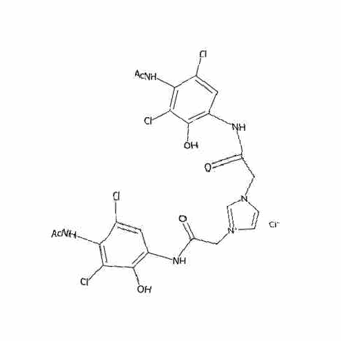 CC(=O)Nc1c(Cl)cc(NC(=O)Cn2cc[n+](CC(=O)Nc3cc(Cl)c(NC(C)=O)c(Cl)c3O)c2)c(O)c1Cl.[Cl-]